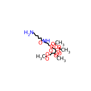 CC(=O)OCC1OC(OCCCNC(=O)CCCCCN)C(OC(C)=O)C(OC(C)=O)C1OC(C)=O